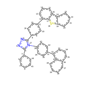 c1ccc(-c2nnc(-c3ccc(-c4cccc5c4sc4ccccc45)cc3)n2-c2ccc(-c3cccc4ccccc34)cc2)cc1